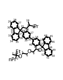 CCCC(C)(CC)OCCOCCOC1(c2ccc(-c3ccc(C4(CCC(C)C(C)C)c5ccccc5-c5ccccc54)cc3)cc2)c2ccccc2-c2ccccc21